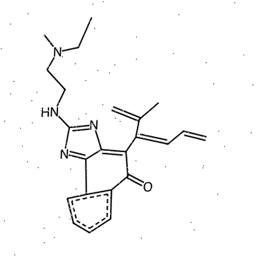 C=C/C=C(\C(=C)C)C1=C2N=C(NCCN(C)CC)N=C2c2ccccc2C1=O